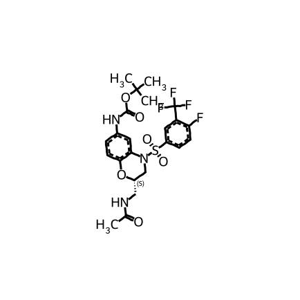 CC(=O)NC[C@H]1CN(S(=O)(=O)c2ccc(F)c(C(F)(F)F)c2)c2cc(NC(=O)OC(C)(C)C)ccc2O1